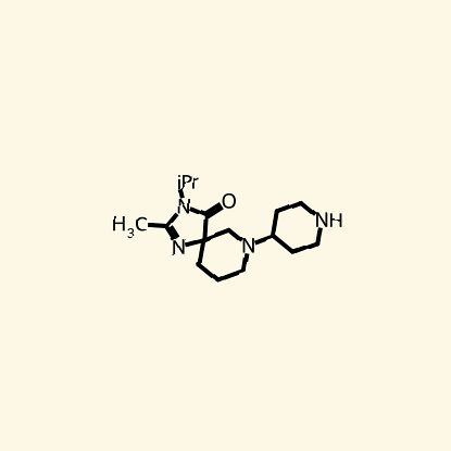 CC1=NC2(CCCN(C3CCNCC3)C2)C(=O)N1C(C)C